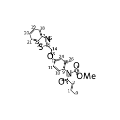 CC=CC(=O)N(C(=O)OC)c1ccc(OCc2nc3ccccc3s2)cc1C